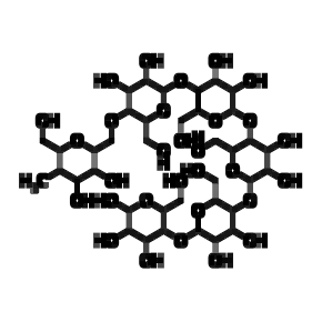 CC1C(CO)OC(COC2C(CO)OC(OC3C(CO)OC(OC4C(CO)OC(OC5C(CO)OC(OC6C(CO)OC(O)C(O)C6O)C(O)C5O)C(O)C4O)C(O)C3O)C(O)C2O)C(O)C1O